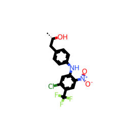 C[C@H](O)Cc1ccc(Nc2cc(Cl)c(C(F)(F)F)cc2[N+](=O)[O-])cc1